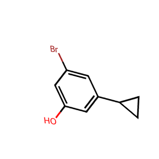 Oc1cc(Br)cc(C2CC2)c1